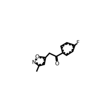 Cc1cc(CC(=O)c2ccc(F)cc2)on1